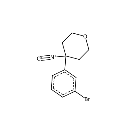 [C-]#[N+]C1(c2cccc(Br)c2)CCOCC1